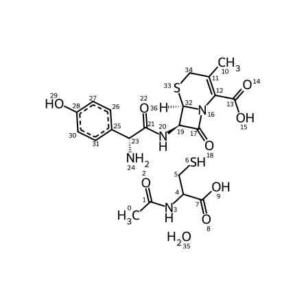 CC(=O)NC(CS)C(=O)O.CC1=C(C(=O)O)N2C(=O)[C@@H](NC(=O)[C@H](N)c3ccc(O)cc3)[C@H]2SC1.O